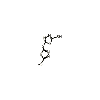 CSc1nnc(Sc2nnc(S)s2)s1